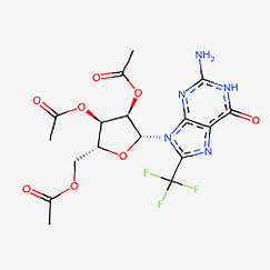 CC(=O)OC[C@H]1O[C@@H](n2c(C(F)(F)F)nc3c(=O)[nH]c(N)nc32)[C@H](OC(C)=O)[C@@H]1OC(C)=O